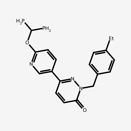 CCc1ccc(Cn2nc(-c3ccc(OC(P)P)nc3)ccc2=O)cc1